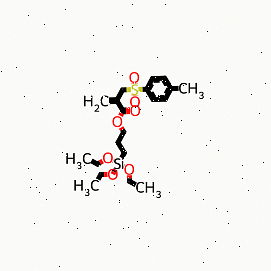 C=C(CS(=O)(=O)c1ccc(C)cc1)C(=O)OCCC[Si](OCC)(OCC)OCC